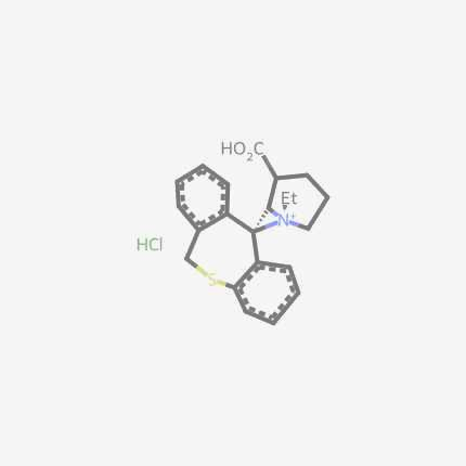 CC[N@@+]12CCCC(C(=O)O)C1[C@]21c2ccccc2CSc2ccccc21.Cl